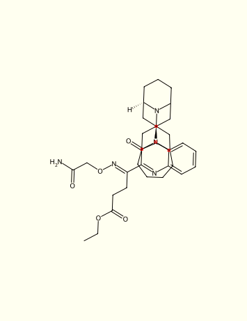 CCOC(=O)CC/C(=N\OCC(N)=O)c1nc2ccccc2n([C@@H]2CC3CCC[C@H](C2)N3C2CC3CCCCC(C3)C2)c1=O